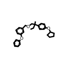 CCC(C)(COCc1cccc(Oc2ccccc2)c1)c1ccc(OC2CCCC2)cc1